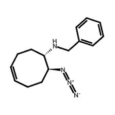 [N-]=[N+]=N[C@H]1CC/C=C\CC[C@@H]1NCc1ccccc1